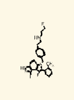 Cc1ccccc1-c1c(F)c2c3c(F)n[nH]c3ccc2n1Cc1ccc(CCNCCCF)cc1